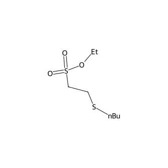 CCCCSCCS(=O)(=O)OCC